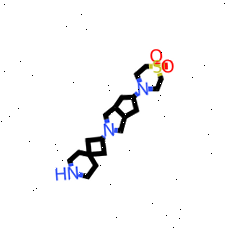 O=S1(=O)CCN(C2CC3CN(C4CC5(CCNCC5)C4)CC3C2)CC1